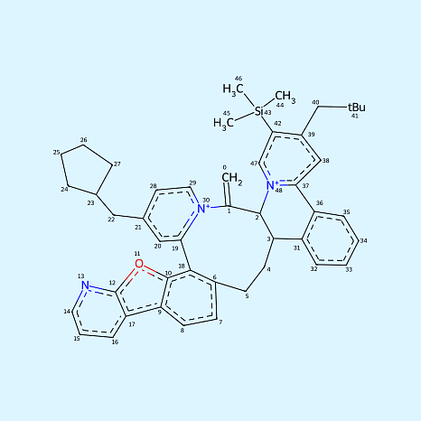 C=C1C2C(CCc3ccc4c(oc5ncccc54)c3-c3cc(CC4CCCC4)cc[n+]31)c1ccccc1-c1cc(CC(C)(C)C)c([Si](C)(C)C)c[n+]12